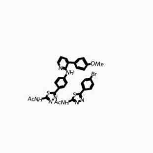 CC(=O)Nc1nnc(-c2ccc(Br)cc2)s1.COc1ccc(-c2cccnc2Nc2ccc(-c3nnc(NC(C)=O)s3)cc2)cc1